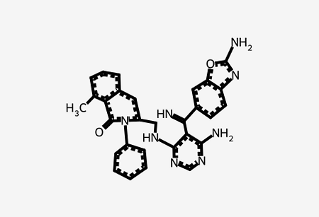 Cc1cccc2cc(CNc3ncnc(N)c3C(=N)c3ccc4nc(N)oc4c3)n(-c3ccccc3)c(=O)c12